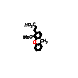 COc1c(C=CC(=O)O)cccc1Oc1ccccc1C